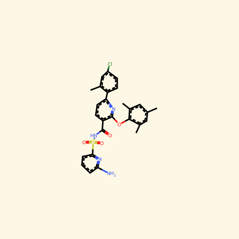 Cc1cc(C)c(Oc2nc(-c3ccc(Cl)cc3C)ccc2C(=O)NS(=O)(=O)c2cccc(N)n2)c(C)c1